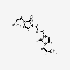 C/C=C\n1ccn(CCCn2ccn(/C=C\C)c2=O)c1=O